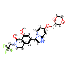 COc1cc(-c2cnc3cc(OC[C@H]4COCCO4)ccn23)cc2c1C(=O)N(CC(F)(F)F)CC2